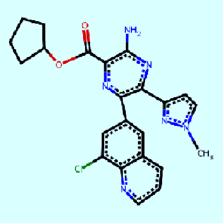 Cn1ccc(-c2nc(N)c(C(=O)OC3CCCC3)nc2-c2cc(Cl)c3ncccc3c2)n1